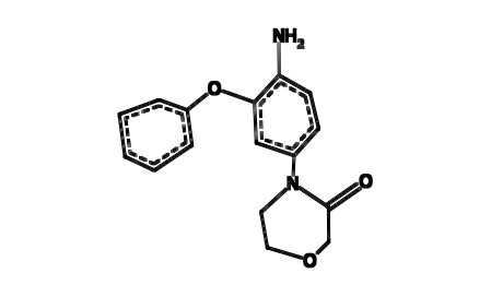 Nc1ccc(N2CCOCC2=O)cc1Oc1ccccc1